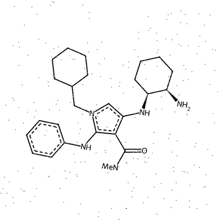 CNC(=O)c1c(N[C@H]2CCCC[C@H]2N)cn(CC2CCCCC2)c1Nc1ccccc1